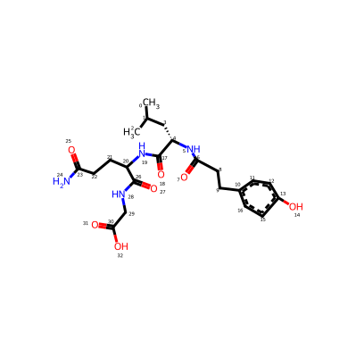 CC(C)C[C@H](NC(=O)CCc1ccc(O)cc1)C(=O)NC(CCC(N)=O)C(=O)NCC(=O)O